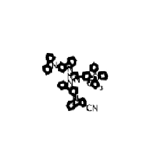 Cc1cc(-c2cc(-n3c4ccccc4c4cc(-n5c6ccccc6c6ccccc65)ccc43)nc(-n3c4ccccc4c4cc(-n5c6ccccc6c6cc(C#N)ccc65)ccc43)n2)ccc1[Si](c1ccccc1)(c1ccccc1)c1ccccc1